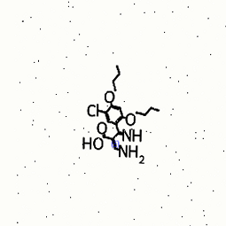 CCCCOc1cc(OCCCC)c(C(=N)/C(=C\N)C(=O)O)cc1Cl